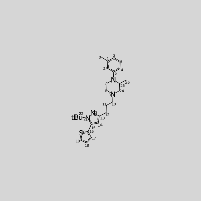 Cc1cccc(N2CCN(CCCc3cc(-c4cccs4)n(C(C)(C)C)n3)CC2C)c1